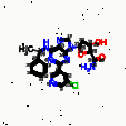 C[C@H](Nc1nc(-c2cncc(Cl)c2)nc2c1ncn2[C@H]1C[C@H](O)[C@@H](C(N)=O)O1)c1ccccc1